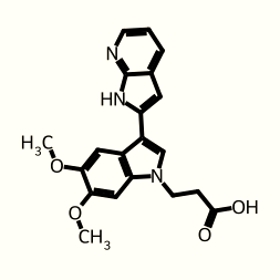 COc1cc2c(-c3cc4cccnc4[nH]3)cn(CCC(=O)O)c2cc1OC